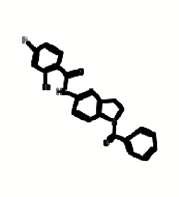 CCc1cc(F)ccc1C(=O)Nc1ccc2c(c1)CCN2C(=O)c1ccccc1